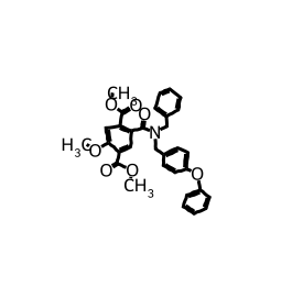 COC(=O)c1cc(C(=O)N(Cc2ccccc2)Cc2ccc(Oc3ccccc3)cc2)c(C(=O)OC)cc1OC